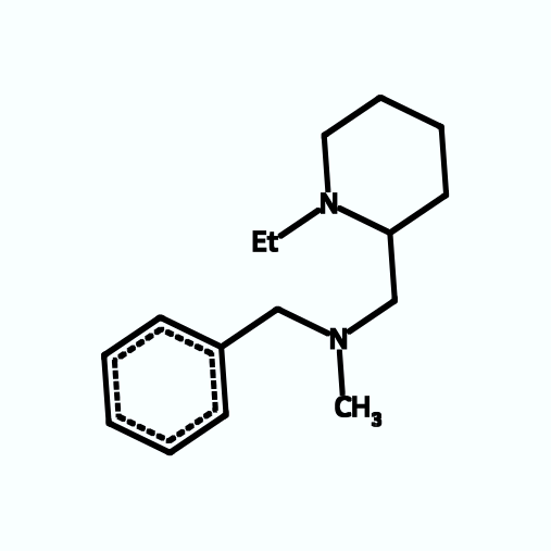 CCN1CCCCC1CN(C)Cc1ccccc1